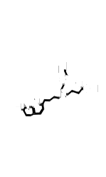 O=C(O)CCCN(CCCCc1ccc2c(n1)NCCC2)CCOCC(F)F